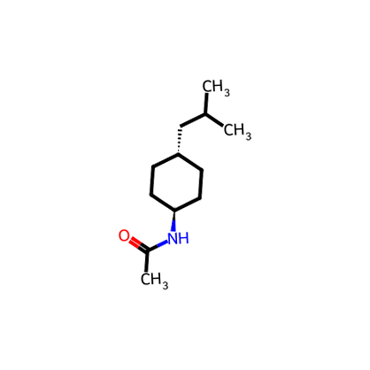 CC(=O)N[C@H]1CC[C@H](CC(C)C)CC1